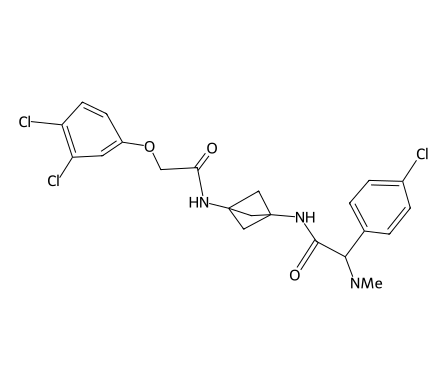 CNC(C(=O)NC12CC(NC(=O)COc3ccc(Cl)c(Cl)c3)(C1)C2)c1ccc(Cl)cc1